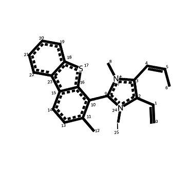 C=Cc1c(/C=C\C)[n+](C)c(-c2c(C)ccc3c2sc2ccccc23)n1I